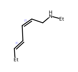 CC/C=C/C=C\CNCC